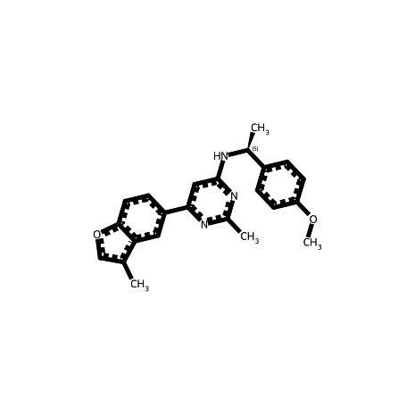 COc1ccc([C@H](C)Nc2cc(-c3ccc4occ(C)c4c3)nc(C)n2)cc1